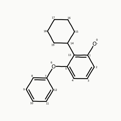 [O]c1cccc(Oc2ccccc2)c1C1CCCCC1